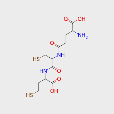 NC(CCC(=O)NC(CS)C(=O)NC(CCS)C(=O)O)C(=O)O